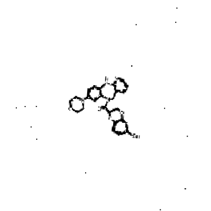 CC(C)(C)c1ccc2c(c1)OCC(C(=O)N1Cc3cccnc3Nc3ccc(N4CCOCC4)cc31)O2